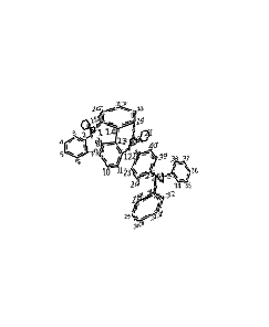 O=P1(c2ccccc2)c2cccc3c2-c2c1cccc2P3(=O)c1ccc(N(c2ccccc2)c2ccccc2)cc1